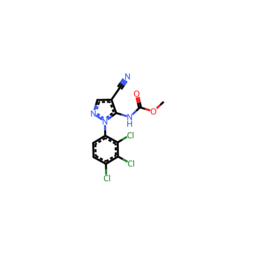 COC(=O)Nc1c(C#N)cnn1-c1ccc(Cl)c(Cl)c1Cl